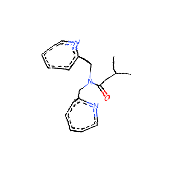 CC(C)C(=O)N(Cc1ccccn1)Cc1ccccn1